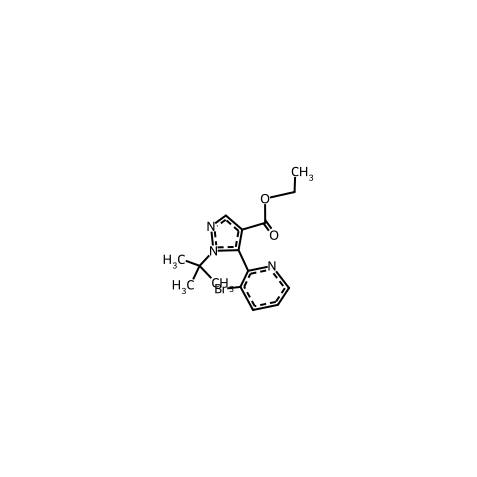 CCOC(=O)c1cnn(C(C)(C)C)c1-c1ncccc1Br